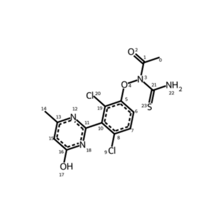 CC(=O)N(Oc1ccc(Cl)c(-c2nc(C)cc(O)n2)c1Cl)C(N)=S